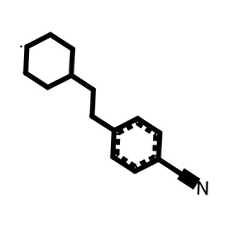 N#Cc1ccc(CCC2CC[CH]CC2)cc1